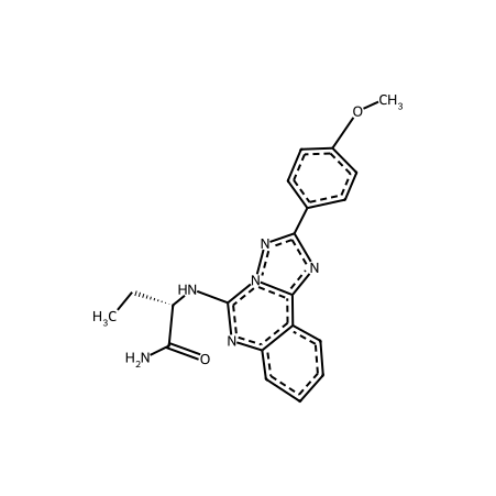 CC[C@H](Nc1nc2ccccc2c2nc(-c3ccc(OC)cc3)nn12)C(N)=O